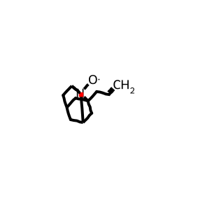 C=CCC12CC3CC(CC(C3)N1[O])C2